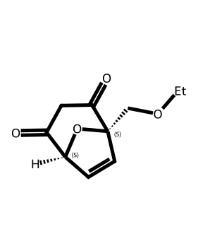 CCOC[C@]12C=C[C@H](O1)C(=O)CC2=O